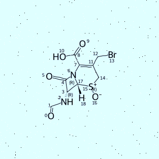 O=CN[C@@H]1C(=O)N2C(C(=O)O)=C(CBr)C[S@+]([O-])[C@H]12